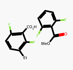 CCc1ccc(F)c(C(=O)O)c1F.COC(=O)c1c(F)cccc1F